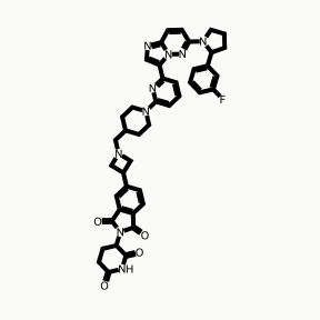 O=C1CCC(N2C(=O)c3ccc(C4CN(CC5CCN(c6cccc(-c7cnc8ccc(N9CCCC9c9cccc(F)c9)nn78)n6)CC5)C4)cc3C2=O)C(=O)N1